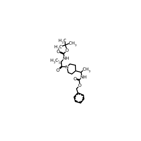 CC(NC(=O)OCc1ccccc1)C1CCN(C(=O)[C@H](C)NC(=O)OC(C)(C)C)CC1